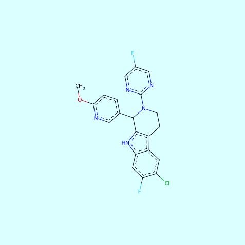 COc1ccc(C2c3[nH]c4cc(F)c(Cl)cc4c3CCN2c2ncc(F)cn2)cn1